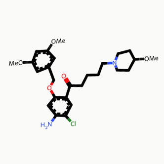 COc1cc(COc2cc(N)c(Cl)cc2C(=O)CCCCN2CCC(OC)CC2)cc(OC)c1